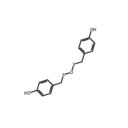 Oc1ccc(CSOSCc2ccc(O)cc2)cc1